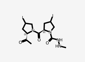 CNNC(=O)N1CC(I)C[C@@H]1C(=O)N1CC(I)C[C@H]1C(C)=O